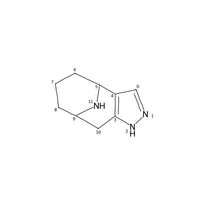 c1n[nH]c2c1C1CCCC(C2)N1